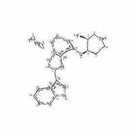 Cl.Cl.F[C@H]1CNCC[C@H]1Oc1cccc2ccc(-c3nnc4ccccn34)nc12